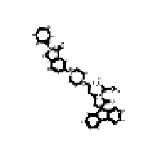 CC(NC(=O)C1(CCCCN2CCN(c3ccc4c(c3)C(=O)N(C3CCCCC3)C4)CC2)c2ccccc2-c2ccccc21)C(F)(F)F